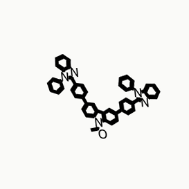 CC(=O)n1c2ccc(-c3ccc(-c4nc5ccccc5n4-c4ccccc4)cc3)cc2c2cc(-c3ccc(-c4nc5ccccc5n4-c4ccccc4)cc3)ccc21